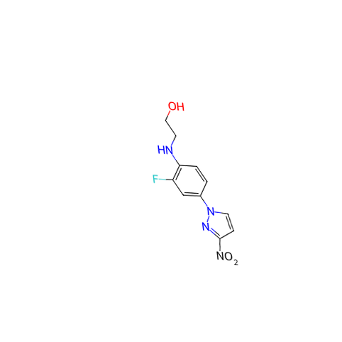 O=[N+]([O-])c1ccn(-c2ccc(NCCO)c(F)c2)n1